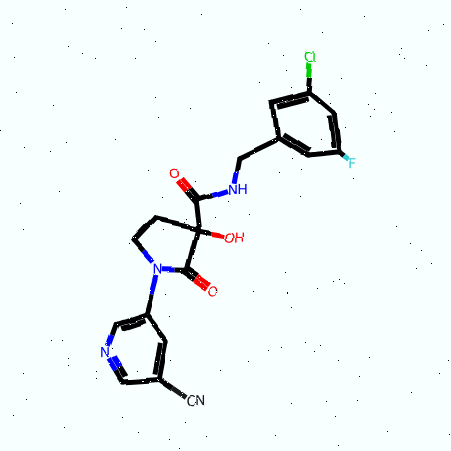 N#Cc1cncc(N2CCC(O)(C(=O)NCc3cc(F)cc(Cl)c3)C2=O)c1